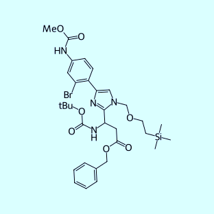 COC(=O)Nc1ccc(-c2cn(COCC[Si](C)(C)C)c(C(CC(=O)OCc3ccccc3)NC(=O)OC(C)(C)C)n2)c(Br)c1